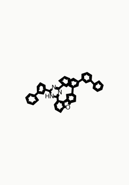 c1ccc(C2=NC(c3cccc(-c4ccccc4)c3)NC(c3cccc4oc5ccc(-c6cccc(-c7cccc(-c8ccccc8)c7)c6)cc5c34)=N2)cc1